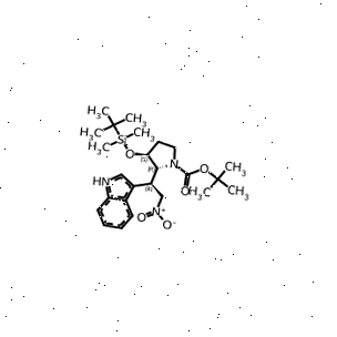 CC(C)(C)OC(=O)N1CC[C@H](O[Si](C)(C)C(C)(C)C)[C@H]1[C@@H](C[N+](=O)[O-])c1c[nH]c2ccccc12